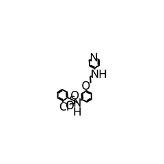 O=S(=O)(Nc1cccc(OCCNc2ccncc2)c1)c1ccccc1Cl